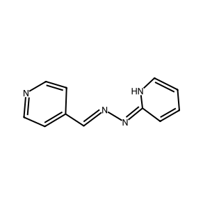 C(=NN=c1cccc[nH]1)c1ccncc1